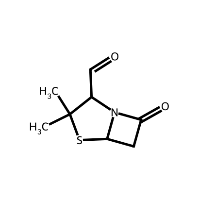 CC1(C)SC2CC(=O)N2C1C=O